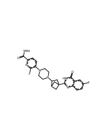 CNC(=O)c1ccc(N2CCN(C3CC4(c5nc6ccc(F)cc6c(=O)[nH]5)CC3C4)CC2)c(F)n1